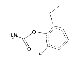 CCc1cccc(F)c1OC(N)=O